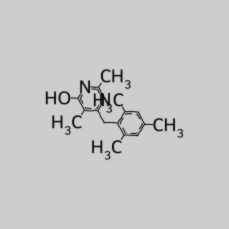 Cc1cc(C)c(Cc2nc(C)nc(O)c2C)c(C)c1